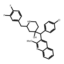 COc1nc2ccccc2cc1C(c1ccc(Cl)cc1)C1(O)CCNC(Cc2ccc(F)c(F)c2)C1